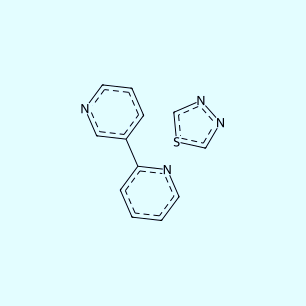 c1ccc(-c2cccnc2)nc1.c1nncs1